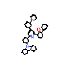 c1ccc(-c2cccc(-c3cc(-c4cccc(-n5c6ccccc6c6ccccc65)c4)nc(-c4cccc5c4oc4ccccc45)c3)c2)cc1